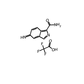 N=C1C=CC2=C(C(N)=O)N=CC2=C1.O=C(O)C(F)(F)F